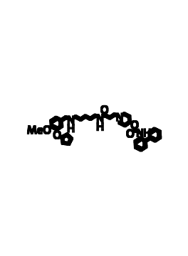 COc1ccc(CNCCCCCNC(=O)CCN2CCC(OC(=O)Nc3ccccc3-c3ccccc3)CC2)cc1OC1CCCC1